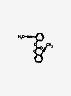 CC#Cc1ccccc1OC(=O)Oc1ccccc1C#CC